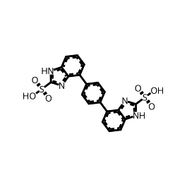 O=S(=O)(O)c1nc2c(-c3ccc(-c4cccc5[nH]c(S(=O)(=O)O)nc45)cc3)cccc2[nH]1